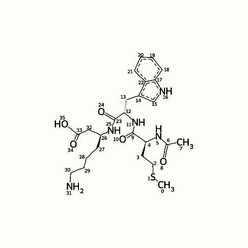 CSCC[C@H](NC(C)=O)C(=O)N[C@@H](Cc1c[nH]c2ccccc12)C(=O)N[C@@H](CCCCN)CC(=O)O